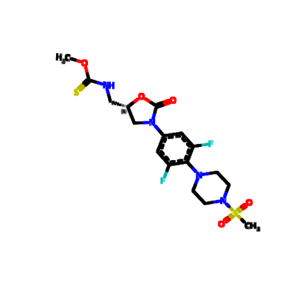 COC(=S)NC[C@H]1CN(c2cc(F)c(N3CCN(S(C)(=O)=O)CC3)c(F)c2)C(=O)O1